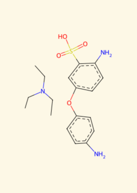 CCN(CC)CC.Nc1ccc(Oc2ccc(N)c(S(=O)(=O)O)c2)cc1